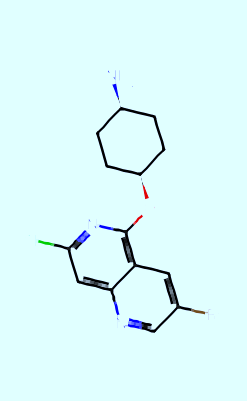 N[C@H]1CC[C@@H](Oc2nc(Cl)cc3ncc(Br)cc23)CC1